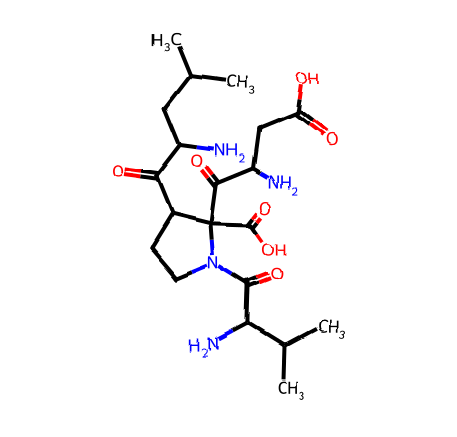 CC(C)CC(N)C(=O)C1CCN(C(=O)C(N)C(C)C)C1(C(=O)O)C(=O)C(N)CC(=O)O